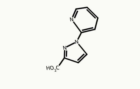 O=C(O)c1ccn(-c2ccccn2)n1